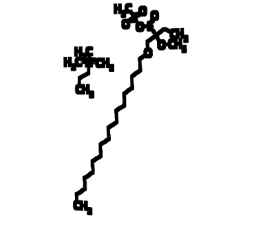 CCCCCCCCCCCCCCCCCCOCC(CC)(OC)S(=O)OS(C)(=O)=O.CCC[N+](C)(C)C